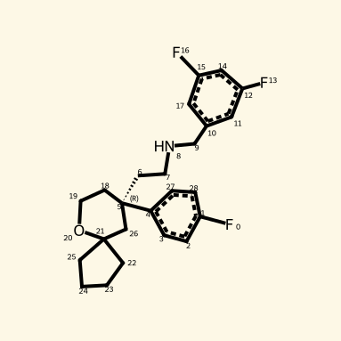 Fc1ccc([C@]2(CCNCc3cc(F)cc(F)c3)CCOC3(CCCC3)C2)cc1